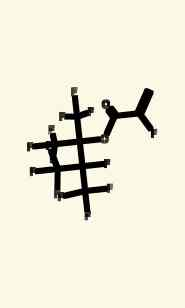 C=C(F)C(=O)OC(C(F)(F)F)(C(F)(F)F)C(F)(C(F)(F)F)C(F)(F)F